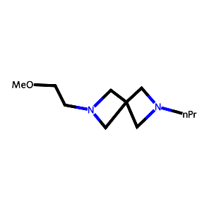 CCCN1CC2(C1)CN(CCOC)C2